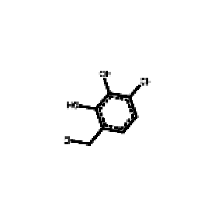 Oc1ccc(CCl)c(O)c1O